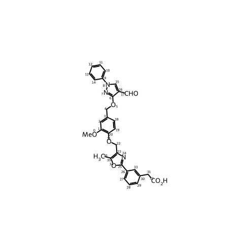 COc1cc(COc2nn(-c3ccccc3)cc2C=O)ccc1OCc1nc(-c2cccc(CC(=O)O)c2)oc1C